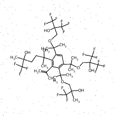 C=C(C)c1c(C(C)(C)CCC(C)(O)C(F)(F)F)c(C(C)(C)OCC(O)(C(F)(F)F)C(F)(F)F)cc(C(C)(C)OCC(O)(C(F)(F)F)C(F)(F)F)c1C(C)(C)OCC(C)(O)C(F)(F)F